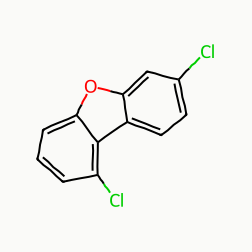 Clc1ccc2c(c1)oc1cccc(Cl)c12